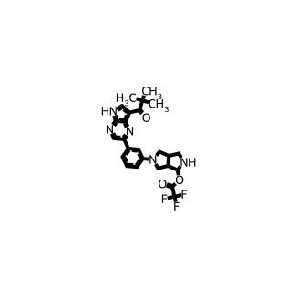 CC(C)(C)C(=O)c1c[nH]c2ncc(-c3cccc(N4CC5CNC(OC(=O)C(F)(F)F)C5C4)c3)nc12